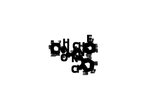 Cc1c(C(=O)NN2CCCCC2)nc(-c2ccccc2Cl)n1-c1cccc(F)c1